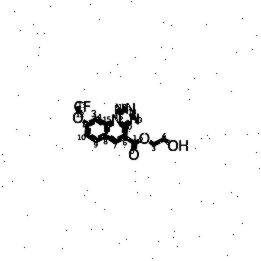 O=C(OCCO)c1cc2ccc(OC(F)(F)F)cc2n2nnnc12